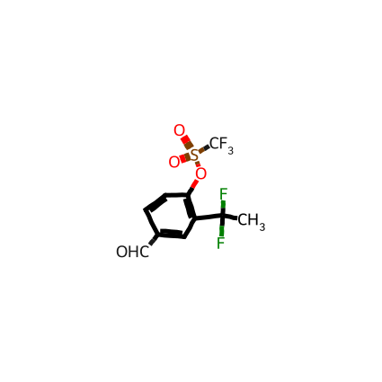 CC(F)(F)c1cc(C=O)ccc1OS(=O)(=O)C(F)(F)F